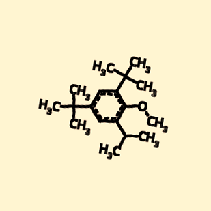 COc1c(C(C)C)cc(C(C)(C)C)cc1C(C)(C)C